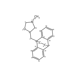 CN1COC(CC23CCC(c4ccccc42)c2ccccc23)C1